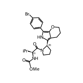 COC(=O)N[C@H](C(=O)N1CCC[C@@H]1c1[nH]c(-c2ccc(Br)cc2)c2c1CCCO2)C(C)C